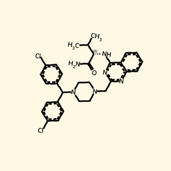 CC(C)[C@H](Nc1nc(CN2CCN(C(c3ccc(Cl)cc3)c3ccc(Cl)cc3)CC2)nc2ccccc12)C(N)=O